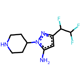 Nc1cc(C(F)C(F)F)nn1C1CCNCC1